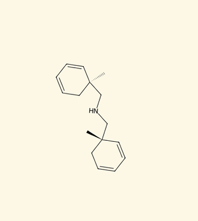 C[C@@]1(CNC[C@]2(C)C=CC=CC2)C=CC=CC1